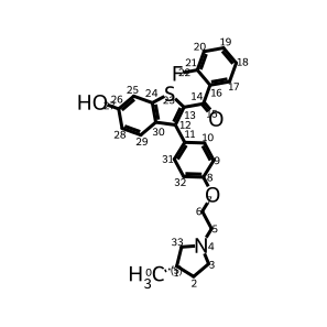 C[C@H]1CCN(CCOc2ccc(-c3c(C(=O)c4ccccc4F)sc4cc(O)ccc34)cc2)C1